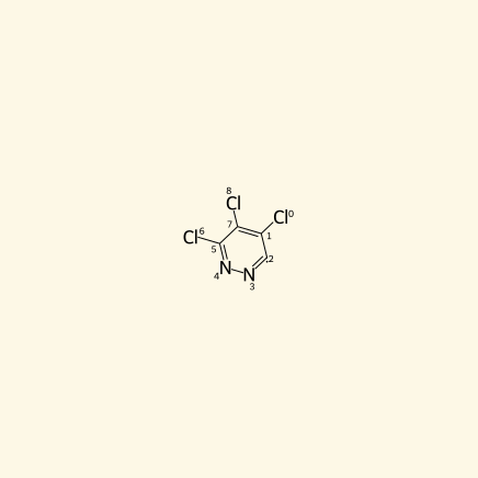 Clc1[c]nnc(Cl)c1Cl